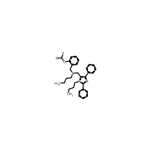 CCCCN(Cc1ccccc1OC(F)F)Cc1c(-c2ccccc2)nc(-c2ccccc2)n1CCCC